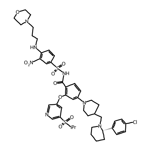 CC(C)S(=O)(=O)c1cncc(Oc2cc(N3CCC(CN4CCCC[C@H]4c4ccc(Cl)cc4)CC3)ccc2C(=O)NS(=O)(=O)c2ccc(NCCCN3CCOCC3)c([N+](=O)[O-])c2)c1